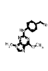 COc1nc(Nc2ccc(CN)cc2)nc2c1ncn2C